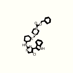 O=C(OCc1ccccc1)N1CCN(C[C@H]2CCCC(Nc3ncc(Cl)c(-c4c[nH]c5ccccc45)n3)C2)CC1